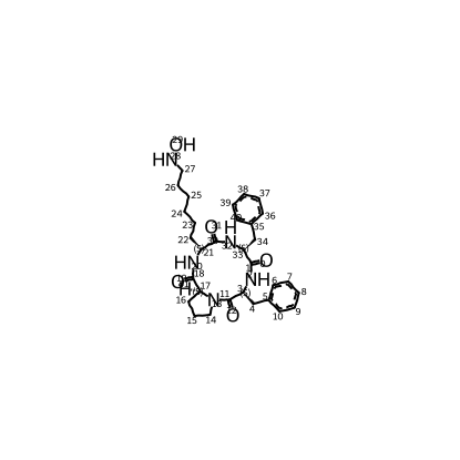 O=C1N[C@@H](Cc2ccccc2)C(=O)N2CCC[C@H]2C(=O)N[C@@H](CCCCCCNO)C(=O)N[C@H]1Cc1ccccc1